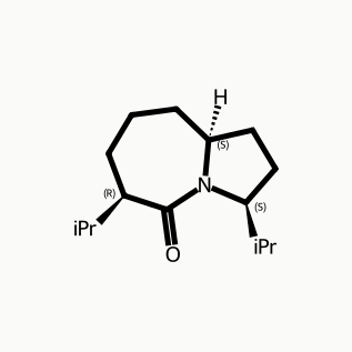 CC(C)[C@H]1CCC[C@H]2CC[C@@H](C(C)C)N2C1=O